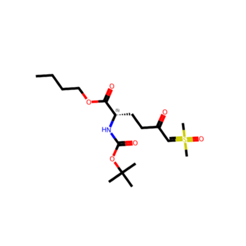 CCCCOC(=O)[C@H](CCC(=O)C=S(C)(C)=O)NC(=O)OC(C)(C)C